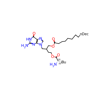 CCCCCCCCCCCCCCCCCC(=O)OCC(CCOC(=O)[C@@H](N)[C@@H](C)CC)Cn1cnc2c(=O)[nH]c(N)nc21